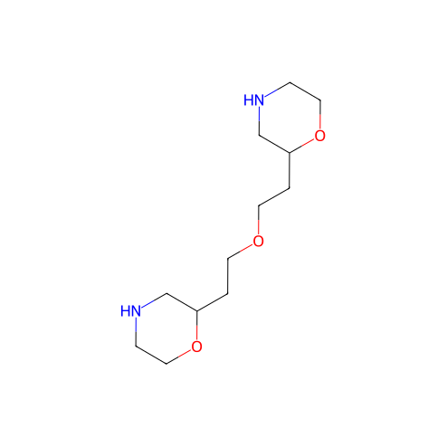 C1COC(CCOCCC2CNCCO2)CN1